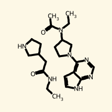 CCN(C(C)=O)C1CCN(c2ncnc3[nH]ccc23)C1.CCNC(=O)CC1CCNC1